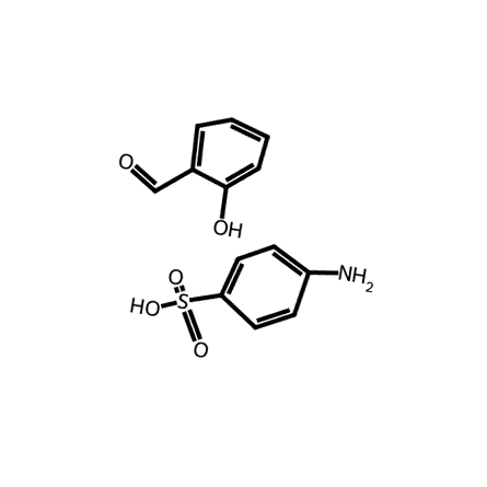 Nc1ccc(S(=O)(=O)O)cc1.O=Cc1ccccc1O